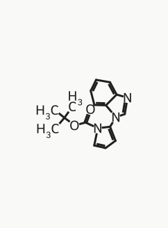 CC(C)(C)OC(=O)n1cccc1-n1cnc2ccccc21